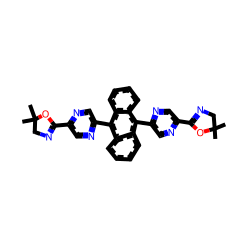 CC1(C)CN=C(c2cnc(-c3c4ccccc4c(-c4cnc(C5=NCC(C)(C)O5)cn4)c4ccccc34)cn2)O1